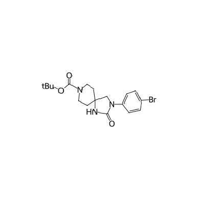 CC(C)(C)OC(=O)N1CCC2(CC1)CN(c1ccc(Br)cc1)C(=O)N2